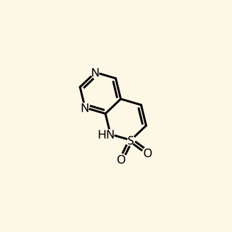 O=S1(=O)C=Cc2cncnc2N1